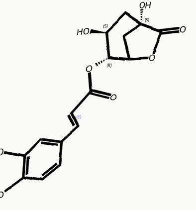 COc1cc(/C=C/C(=O)O[C@H]2C3C[C@@](O)(C[C@@H]2O)C(=O)O3)ccc1O